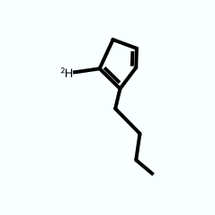 [2H]C1=C(CCCC)C=CC1